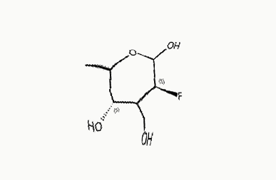 CC1OC(O)[C@@H](F)C(O)[C@@H]1O